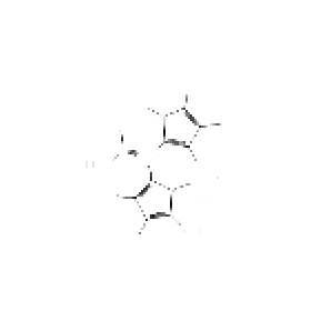 CC1=C(C)C(C)[C]([Hf+2]([C]2=C(C)C(C)=C(C)C2C)=[Si](C)C)=C1C.[Cl-].[Cl-]